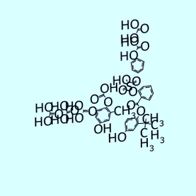 CC(C)(C)c1cc(O)ccc1OC(=O)c1ccccc1OS(=O)(=O)O.Cc1cc(O)ccc1OC(=O)O.O=C(O)O.O=C(O)O.O=C(O)O.O=C(O)O.O=C(O)O.c1ccccc1